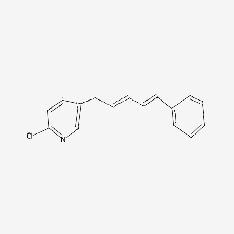 Clc1c[c]c(CC=CC=Cc2ccccc2)cn1